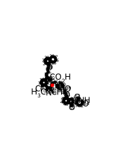 Cc1nn(C)c(C)c1-c1c(Cl)ccc2c(CCCOc3cccc4c3CCCC4)c(C(=O)O)n(CCN3CCN(C(=O)COc4cccc5c4CN(C4CCC(=O)NC4=O)C5=O)CC3)c12